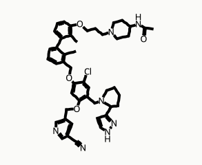 CC(=O)NC1CCN(CCCOc2cccc(-c3cccc(COc4cc(OCc5cncc(C#N)c5)c(CN5CCCCC5c5cc[nH]n5)cc4Cl)c3C)c2C)CC1